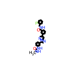 CNC(=O)Nc1cccc(-c2cnc3cc(-c4cccc(C(=O)NCc5ccccc5F)c4)cnn23)c1